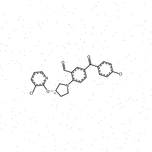 O=Cc1cc(C(=O)c2ccc(Cl)cc2)ccc1N1CC[C@H](Oc2ncccc2Cl)C1